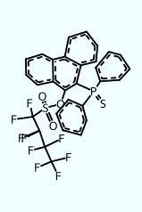 O=S(=O)(Oc1c(P(=S)(c2ccccc2)c2ccccc2)c2ccccc2c2ccccc12)C(F)(F)C(F)(F)C(F)(F)C(F)(F)F